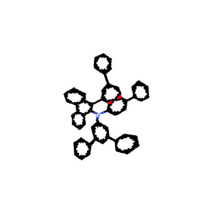 c1ccc(-c2ccc(N(c3cc(-c4ccccc4)cc(-c4ccccc4)c3)c3c(-c4cccc(-c5ccccc5)c4)c4ccccc4c4ccccc34)cc2)cc1